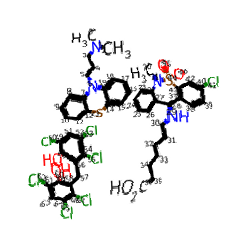 CN(C)CCCN1c2ccccc2Sc2ccccc21.CN1c2ccccc2C(NCCCCCCC(=O)O)c2ccc(Cl)cc2S1(=O)=O.Oc1c(Cl)cc(Cl)c(Cl)c1Cc1c(O)c(Cl)cc(Cl)c1Cl